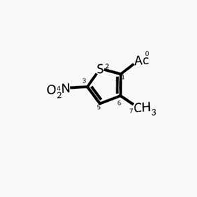 CC(=O)c1sc([N+](=O)[O-])cc1C